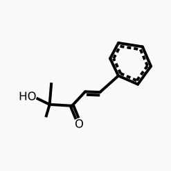 CC(C)(O)C(=O)C=Cc1ccccc1